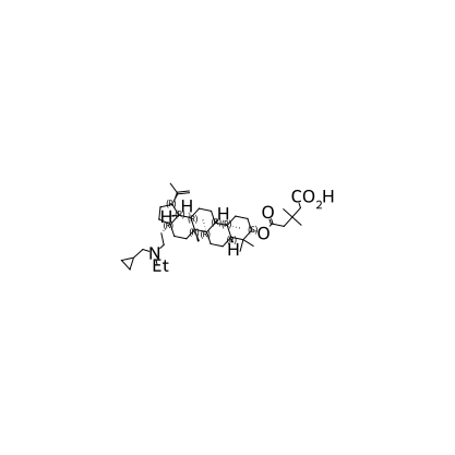 C=C(C)[C@@H]1CC[C@]2(CCN(CC)CC3CC3)CC[C@]3(C)[C@H](CC[C@@H]4[C@@]5(C)CC[C@H](OC(=O)CC(C)(C)CC(=O)O)C(C)(C)[C@@H]5CC[C@]43C)[C@@H]12